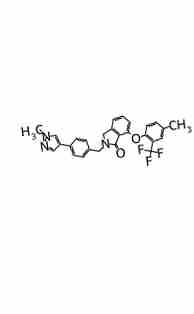 Cc1ccc(Oc2cccc3c2C(=O)N(Cc2ccc(-c4cnn(C)c4)cc2)C3)c(C(F)(F)F)c1